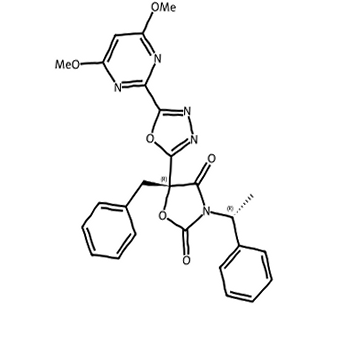 COc1cc(OC)nc(-c2nnc([C@@]3(Cc4ccccc4)OC(=O)N([C@H](C)c4ccccc4)C3=O)o2)n1